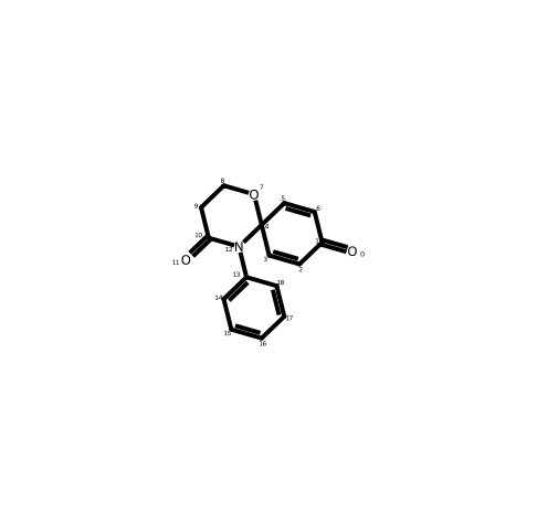 O=C1C=CC2(C=C1)OCCC(=O)N2c1ccccc1